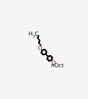 CC=CC=CCOc1ccc(-c2ccc(OCCCCCCCC)cc2)cc1